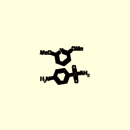 COc1cccc(OC)n1.Nc1ccc(S(N)(=O)=O)cc1